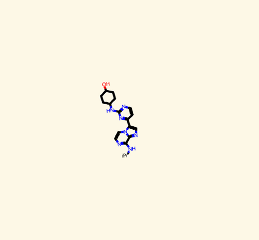 CC(C)Nc1nccn2c(-c3ccnc(NC4CCC(O)CC4)n3)cnc12